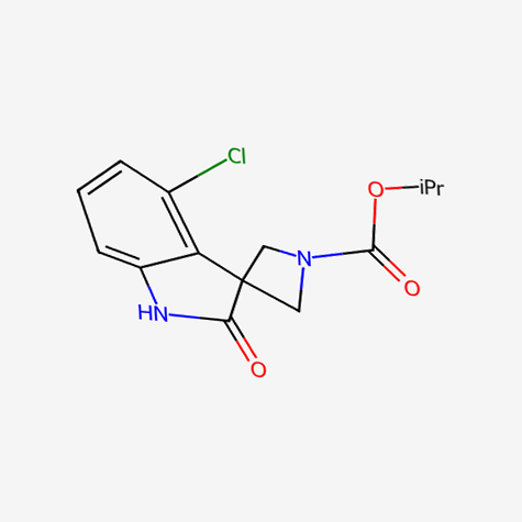 CC(C)OC(=O)N1CC2(C1)C(=O)Nc1cccc(Cl)c12